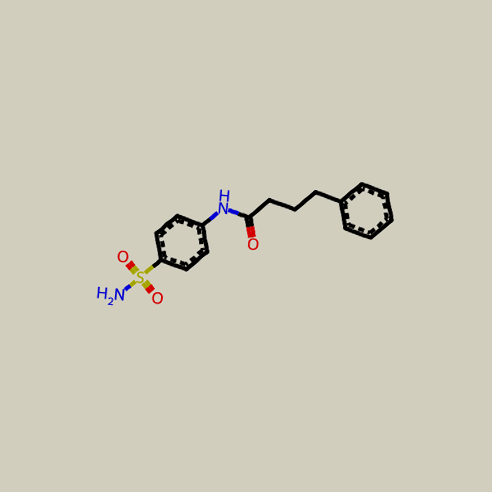 NS(=O)(=O)c1ccc(NC(=O)CCCc2ccccc2)cc1